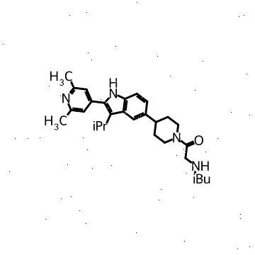 CCC(C)NCC(=O)N1CCC(c2ccc3[nH]c(-c4cc(C)nc(C)c4)c(C(C)C)c3c2)CC1